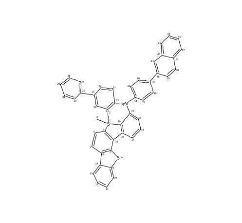 CS1(C)c2ccc3c(sc4ccccc43)c2-c2cccc(N(c3ccc(-c4ccccc4)cc3)c3ccc(-c4ccc5ccccc5c4)cc3)c21